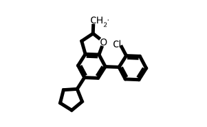 [CH2]C1Cc2cc(C3CCCC3)cc(-c3ccccc3Cl)c2O1